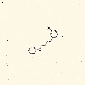 Brc1cccc(C=CCCOc2ccccc2)c1